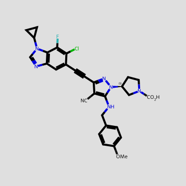 COc1ccc(CNc2c(C#N)c(C#Cc3cc4ncn(C5CC5)c4c(F)c3Cl)nn2[C@H]2CCN(C(=O)O)C2)cc1